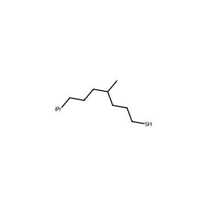 CC(C)CCCC(C)CCCS